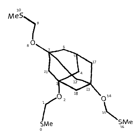 CSCOC12CC3CC(OCSC)(C1)CC(OCSC)(C3)C2